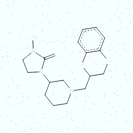 CN1CCN(C2CCCN(CC3COc4ccccc4O3)C2)C1=O